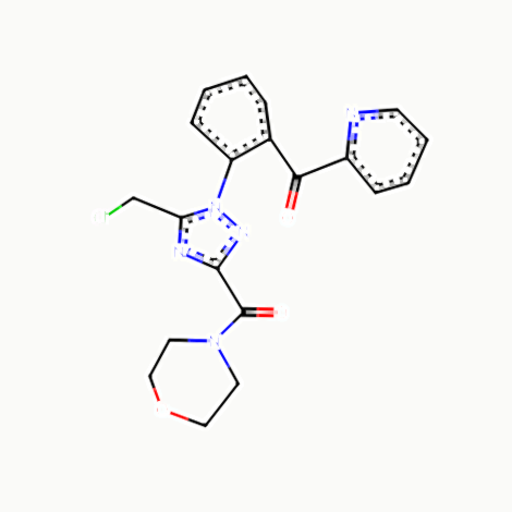 O=C(c1ccccn1)c1ccccc1-n1nc(C(=O)N2CCOCC2)nc1CCl